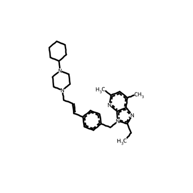 CCc1nc2c(C)cc(C)nc2n1Cc1ccc(C=CCN2CCN(C3CCCCC3)CC2)cc1